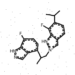 CC(C)c1ccc2c[n+](CC(C)c3ccc(F)c4[nH]ncc34)[nH]c2c1F